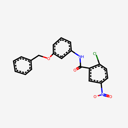 O=C(Nc1cccc(OCc2ccccc2)c1)c1cc([N+](=O)[O-])ccc1Cl